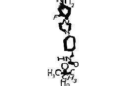 CC(C)(C)OC(=O)NC[C@H]1CC[C@H](N2CCN(c3ccc(N)cc3F)CC2)CC1